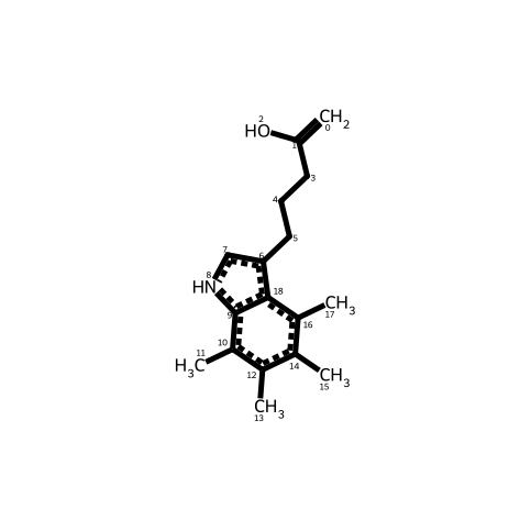 C=C(O)CCCc1c[nH]c2c(C)c(C)c(C)c(C)c12